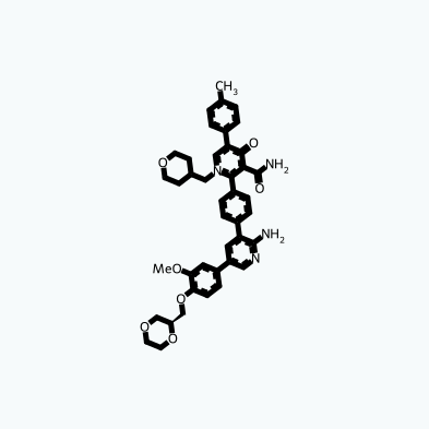 COc1cc(-c2cnc(N)c(-c3ccc(-c4c(C(N)=O)c(=O)c(-c5ccc(C)cc5)cn4CC4CCOCC4)cc3)c2)ccc1OC[C@@H]1COCCO1